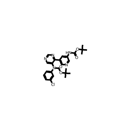 CC(C)(C)OC(=O)Nc1cncc(-c2ncncc2N(C(=O)OC(C)(C)C)c2cccc(Cl)c2)c1